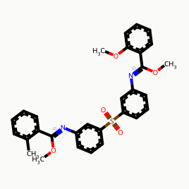 CO/C(=N\c1cccc(S(=O)(=O)c2cccc(/N=C(\OC)c3ccccc3OC)c2)c1)c1ccccc1C